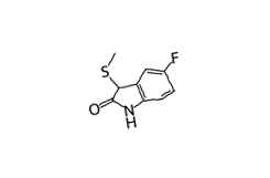 CSC1C(=O)Nc2ccc(F)cc21